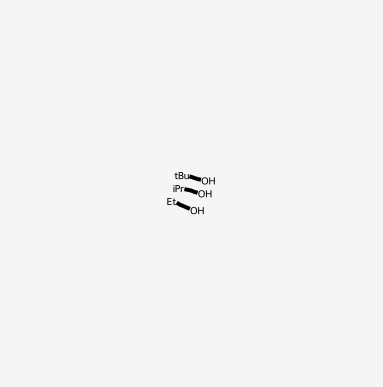 CC(C)(C)O.CC(C)O.CCO